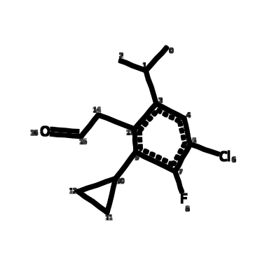 CC(C)c1cc(Cl)c(F)c(C2CC2)c1CC=O